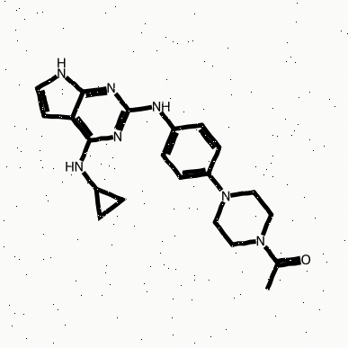 CC(=O)N1CCN(c2ccc(Nc3nc(NC4CC4)c4cc[nH]c4n3)cc2)CC1